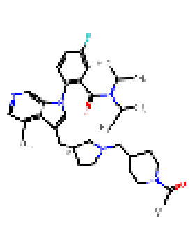 CC(=O)N1CCC(CN2CC[C@@H](Cc3cn(-c4ccc(F)cc4C(=O)N(C(C)C)C(C)C)c4cncc(C)c34)C2)CC1